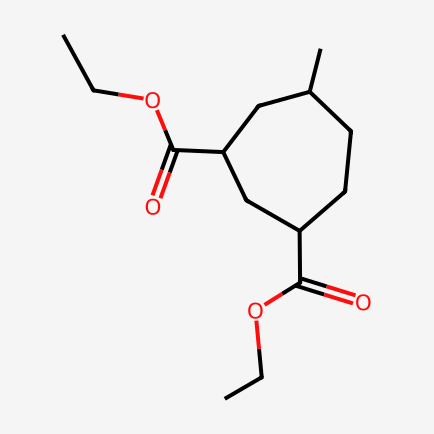 CCOC(=O)C1CCC(C)CC(C(=O)OCC)C1